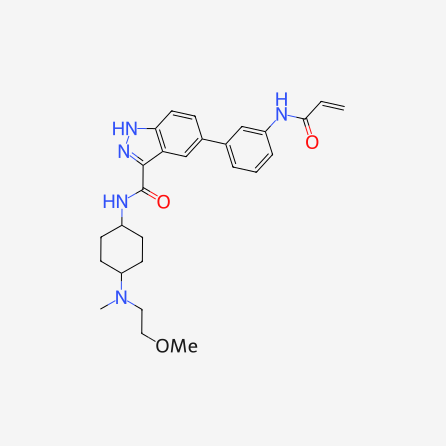 C=CC(=O)Nc1cccc(-c2ccc3[nH]nc(C(=O)NC4CCC(N(C)CCOC)CC4)c3c2)c1